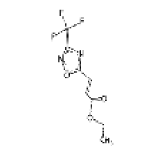 CCOC(=O)/C=C/c1nc(C(F)(F)F)no1